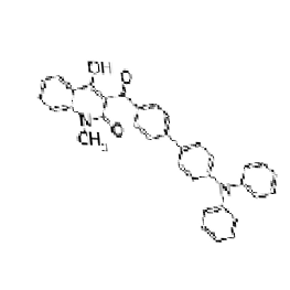 Cn1c(=O)c(C(=O)c2ccc(-c3ccc(N(c4ccccc4)c4ccccc4)cc3)cc2)c(O)c2ccccc21